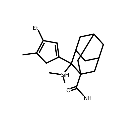 CCC1=C(C)CC(C2([SiH](C)C)C3CC4CC(C3)CC2(C([NH])=O)C4)=C1